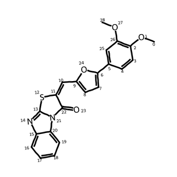 COc1ccc(-c2ccc(/C=c3/sc4nc5ccccc5n4c3=O)o2)cc1OC